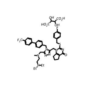 CCN(CC)CCN(C)Cc1nnc(Cn2c(SCc3ccc(F)cc3)nc(=O)c3c2CCC3)n1Cc1ccc(-c2ccc(C(F)(F)F)cc2)cc1.O=C(O)C(O)C(O)C(=O)O